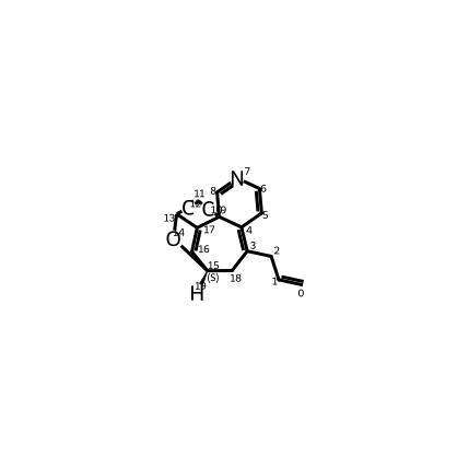 C=CCC1=C2C=CN=CC23CCCC2O[C@H](C=C23)C1